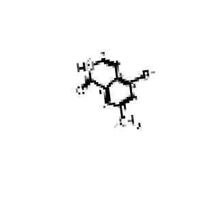 Cc1cc(Br)c2cc[nH]c(=O)c2c1